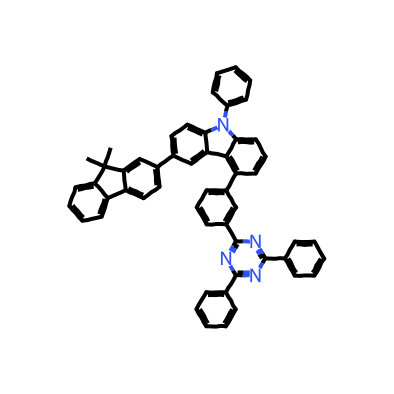 CC1(C)c2ccccc2-c2ccc(-c3ccc4c(c3)c3c(-c5cccc(-c6nc(-c7ccccc7)nc(-c7ccccc7)n6)c5)cccc3n4-c3ccccc3)cc21